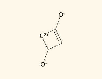 [O-]C1=CC([O-])[C+2]1